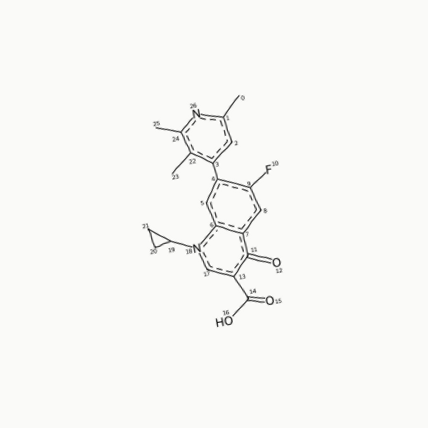 Cc1cc(-c2cc3c(cc2F)c(=O)c(C(=O)O)cn3C2CC2)c(C)c(C)n1